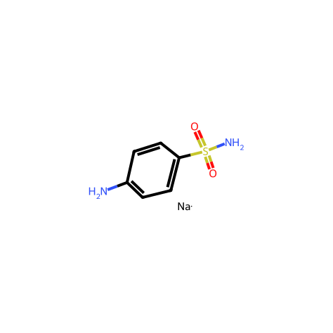 Nc1ccc(S(N)(=O)=O)cc1.[Na]